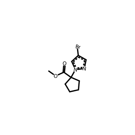 COC(=O)C1(n2cc(Br)cn2)CCCC1